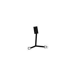 C#CC(Cl)[CH]C